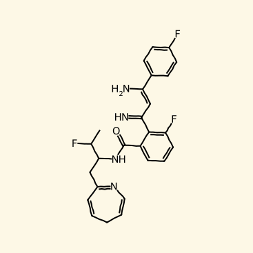 CC(F)C(CC1=NC=CCC=C1)NC(=O)c1cccc(F)c1C(=N)/C=C(\N)c1ccc(F)cc1